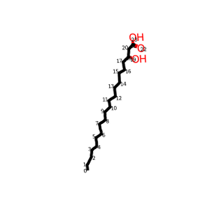 CCCCCCCCCCCCCCCCCCC(O)CC(=O)O